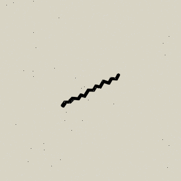 C=CC=CCCCCCCCCCCCC